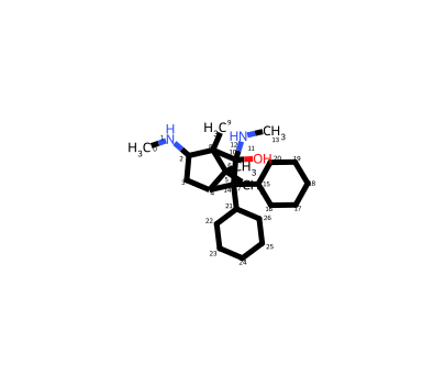 CNC1CC2C(C)(C)C1(C)C(O)(NC)C2(C1CCCCC1)C1CCCCC1